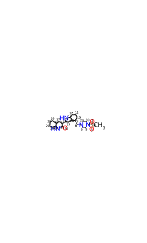 CS(=O)(=O)N1CCN(Cc2cccc3[nH]c(-c4cc5ccccc5[nH]c4=O)cc23)CC1